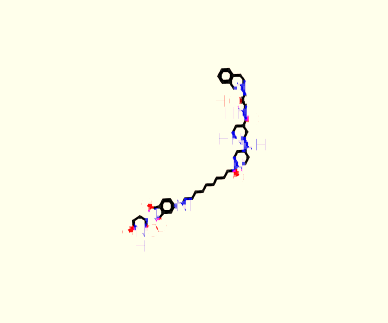 O=C1CCC(N2C(=O)c3ccc(NCCCCCCCCCC(=O)N4CCC(NC5CC(C(=O)NC[C@H](O)CN6CCc7ccccc7C6)CCN5)CC4)cc3C2=O)C(=O)N1